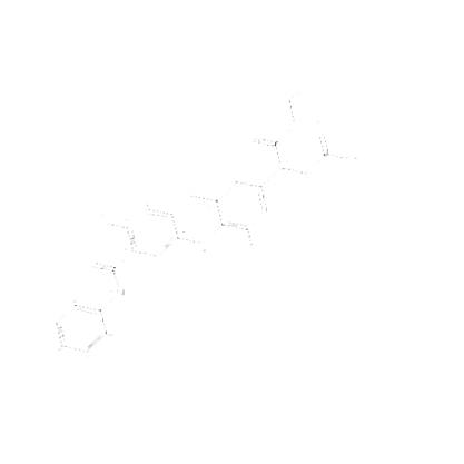 CCOC(=O)N(CC(=O)O)c1cc(Cl)c(Oc2ccc(O)c(C(=O)Nc3ccccc3)c2)c(Cl)c1